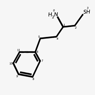 NC(CS)CCc1ccccc1